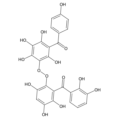 O=C(c1ccc(O)cc1)c1c(O)c(O)c(O)c(OOc2c(O)cc(O)c(O)c2C(=O)c2cccc(O)c2O)c1O